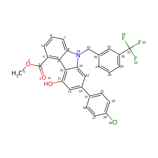 COC(=O)c1cccc2c1c1c(O)cc(-c3ccc(Cl)cc3)cc1n2Cc1cccc(C(F)(F)F)c1